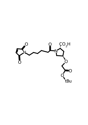 CC(C)(C)OC(=O)CO[C@@H]1C[C@@H](C(=O)O)N(C(=O)CCCCCN2C(=O)C=CC2=O)C1